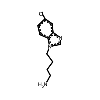 NCCCCn1cnc2cc(Cl)ccc21